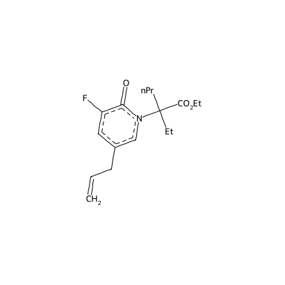 C=CCc1cc(F)c(=O)n(C(CC)(CCC)C(=O)OCC)c1